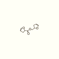 O=C(OCC1CC=CO1)C1CC=CO1